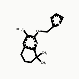 CC1(C)CCCc2cc(C(=O)O)c(NCc3ccco3)nc21